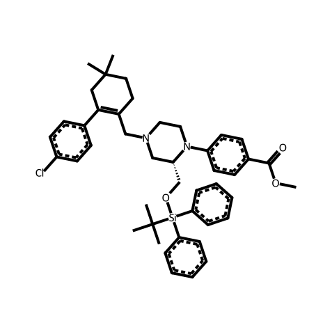 COC(=O)c1ccc(N2CCN(CC3=C(c4ccc(Cl)cc4)CC(C)(C)CC3)C[C@H]2CO[Si](c2ccccc2)(c2ccccc2)C(C)(C)C)cc1